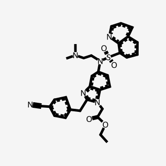 CCOC(=O)Cn1c(Cc2ccc(C#N)cc2)nc2cc(N(CCN(C)C)S(=O)(=O)c3cccc4cccnc34)ccc21